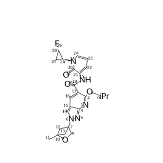 CC(C)Oc1nc2nn(C34COC(C)(C3)C4)cc2cc1C(=O)Nc1cccn([C@H]2C[C@@H]2F)c1=O